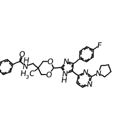 CC1(CNC(=O)c2ccccc2)COC(c2nc(-c3ccc(F)cc3)c(-c3ccnc(N4CCCC4)n3)[nH]2)OC1